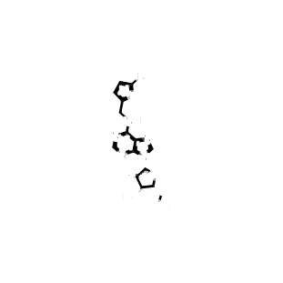 OC[C@H]1O[C@@H](n2cnc3c(NCc4ccc(Br)o4)ncnc32)[C@@H](O)[C@@H]1O